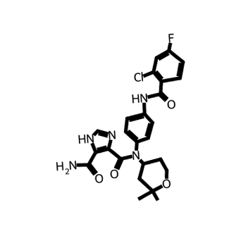 CC1(C)CC(N(C(=O)c2nc[nH]c2C(N)=O)c2ccc(NC(=O)c3ccc(F)cc3Cl)cc2)CCO1